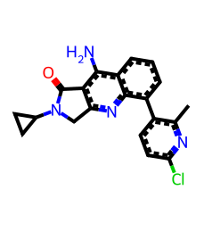 Cc1nc(Cl)ccc1-c1cccc2c(N)c3c(nc12)CN(C1CC1)C3=O